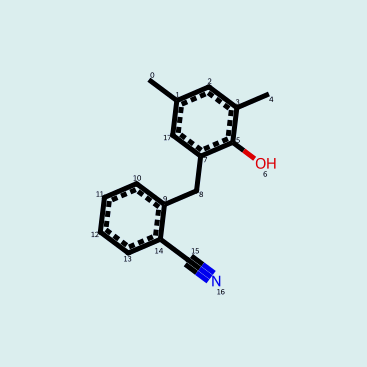 Cc1cc(C)c(O)c(Cc2ccccc2C#N)c1